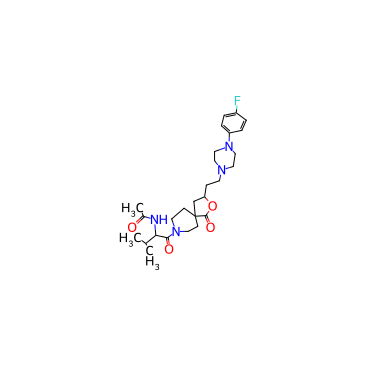 CC(=O)NC(C(=O)N1CCC2(CC1)CC(CCN1CCN(c3ccc(F)cc3)CC1)OC2=O)C(C)C